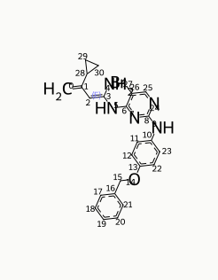 C=C(/C=C(\N)Nc1nc(Nc2ccc(OCc3ccccc3)cc2)ncc1Br)C1CC1